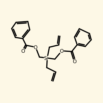 C=CC[Si](CC=C)(COC(=O)c1ccccc1)COC(=O)c1ccccc1